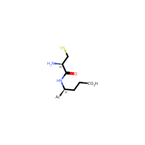 CC(=O)[C@H](CCC(=O)O)NC(=O)[C@@H](N)CS